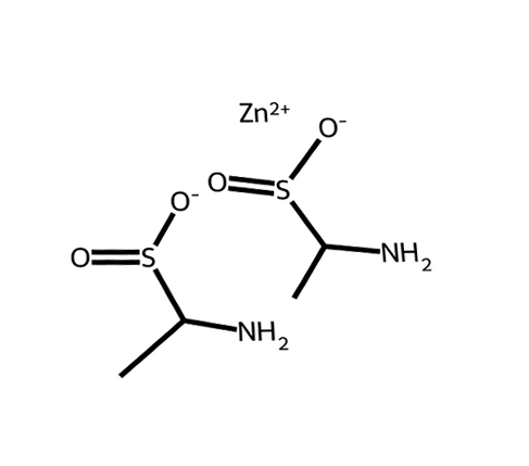 CC(N)S(=O)[O-].CC(N)S(=O)[O-].[Zn+2]